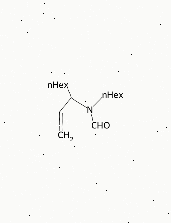 C=CC(CCCCCC)N(C=O)CCCCCC